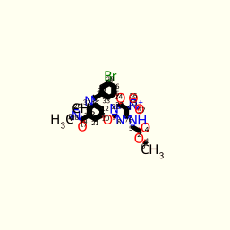 CCOC(=O)CNc1nc(Oc2cccc(C(=O)N(C)C)c2)nc(Oc2cc(Br)cc(C#N)c2)c1[N+](=O)[O-]